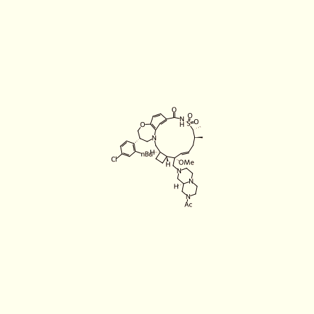 CCCCc1cc(Cl)ccc1[C@@H]1COc2ccc3cc2N(C1)C[C@@H]1CC[C@H]1[C@@](CN1CCN2CCN(C(C)=O)C[C@H]2C1)(OC)/C=C/C[C@H](C)[C@@H](C)S(=O)(=O)NC3=O